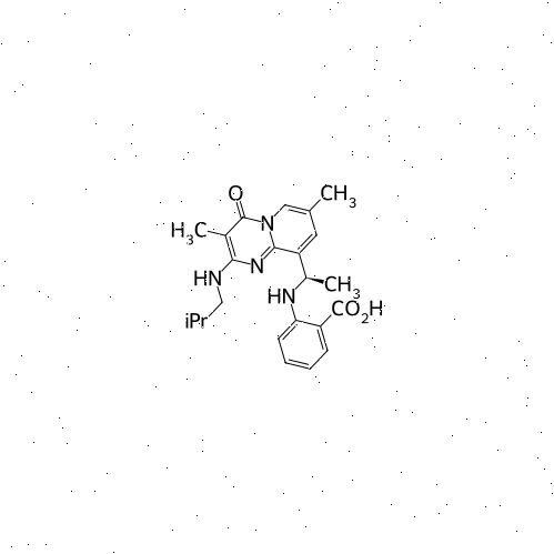 Cc1cc([C@@H](C)Nc2ccccc2C(=O)O)c2nc(NCC(C)C)c(C)c(=O)n2c1